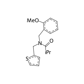 COc1ccccc1CN(Cc1cccs1)C(=O)C(C)C